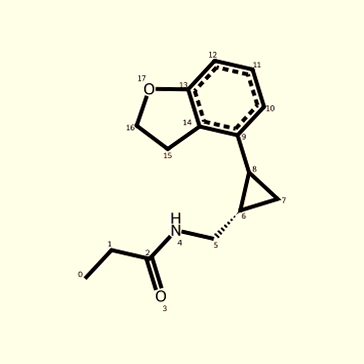 CCC(=O)NC[C@H]1CC1c1cccc2c1CCO2